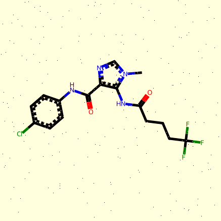 Cn1cnc(C(=O)Nc2ccc(Cl)cc2)c1NC(=O)CCCC(F)(F)F